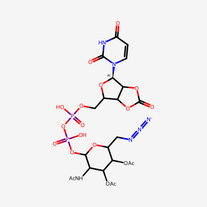 CC(=O)NC1C(OP(=O)(O)OP(=O)(O)OCC2O[C@@H](n3ccc(=O)[nH]c3=O)C3OC(=O)OC23)OC(CN=[N+]=[N-])C(OC(C)=O)C1OC(C)=O